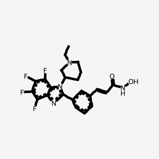 CCN1CCCC(n2c(-c3cccc(C=CC(=O)NO)c3)nc3c(F)c(F)c(F)c(F)c32)C1